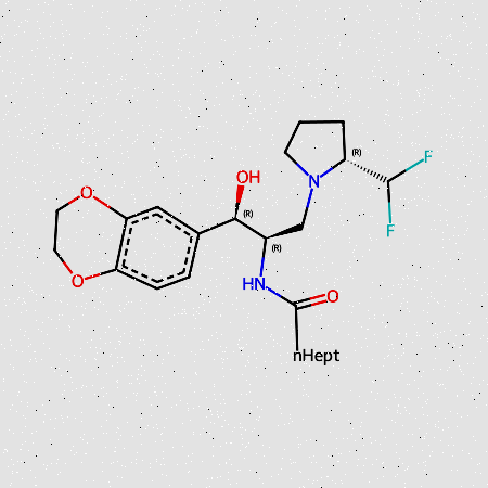 CCCCCCCC(=O)N[C@H](CN1CCC[C@@H]1C(F)F)[C@H](O)c1ccc2c(c1)OCCO2